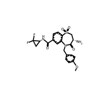 COc1ccc(CN2C(=O)[C@@H](N)CS(=O)(=O)c3ccc(C(=O)N[C@@H]4CC4(F)F)cc32)cc1